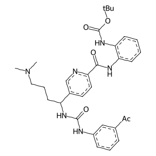 CC(=O)c1cccc(NC(=O)NC(CCCN(C)C)c2ccc(C(=O)Nc3ccccc3NC(=O)OC(C)(C)C)nc2)c1